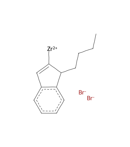 CCCCC1[C]([Zr+2])=Cc2ccccc21.[Br-].[Br-]